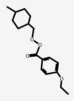 [CH2]C1CCC([CH]OOC(=O)c2ccc(OCC)cc2)CC1